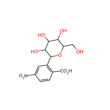 O=C(O)c1ccc([N+](=O)[O-])cc1C1OC(CO)C(O)C(O)C1O